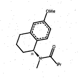 COc1ccc2c(c1)CCC[C@@H]2N(C)C(=O)C(C)C